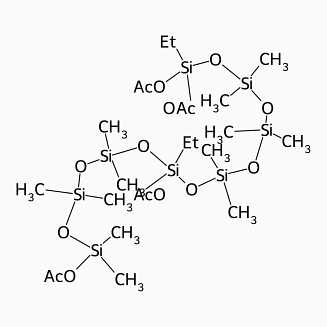 CC[Si](OC(C)=O)(OC(C)=O)O[Si](C)(C)O[Si](C)(C)O[Si](C)(C)O[Si](CC)(OC(C)=O)O[Si](C)(C)O[Si](C)(C)O[Si](C)(C)OC(C)=O